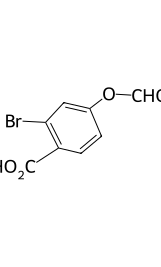 O=COc1ccc(C(=O)O)c(Br)c1